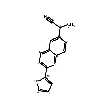 CC(C#N)c1ccc2nc(-c3cccs3)ccc2c1